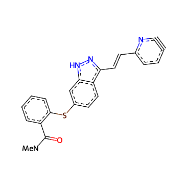 CNC(=O)c1ccccc1Sc1ccc2c(/C=C/c3ccc#cn3)n[nH]c2c1